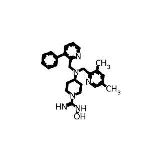 Cc1cnc(CN(Cc2ncccc2-c2ccccc2)C2CCN(C(=N)NO)CC2)c(C)c1